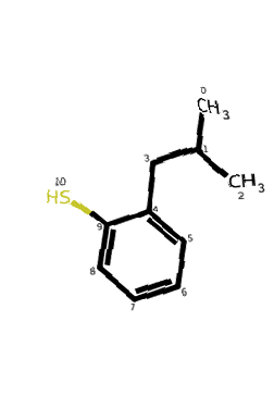 CC(C)Cc1ccccc1S